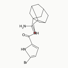 NC(=O)C12CC3CC(C1)C(CNC(=O)c1ccc(Br)[nH]1)C(C3)C2